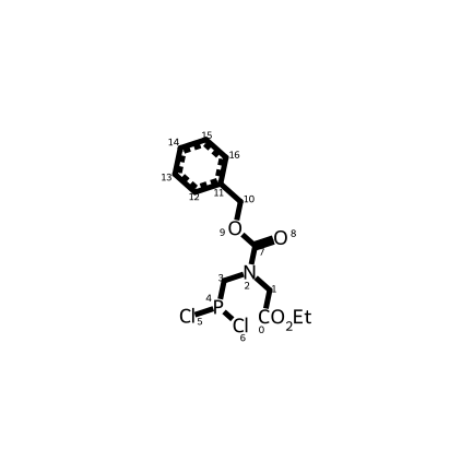 CCOC(=O)CN(CP(Cl)Cl)C(=O)OCc1ccccc1